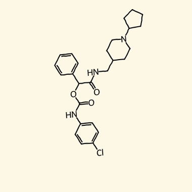 O=C(Nc1ccc(Cl)cc1)OC(C(=O)NCC1CCN(C2CCCC2)CC1)c1ccccc1